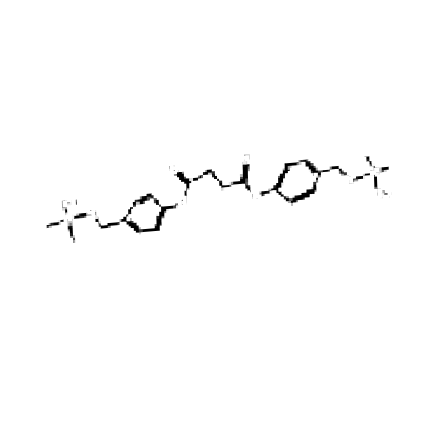 CC(C)(C)[Si](C)(C)OCc1ccc(OC(=O)CCC(=O)Oc2ccc(CO[Si](C)(C)C(C)(C)C)cc2)cc1